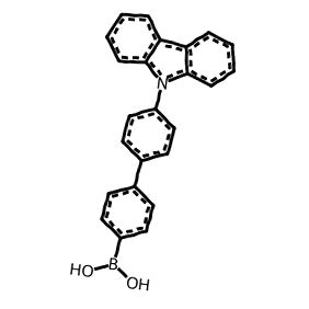 OB(O)c1ccc(-c2ccc(-n3c4ccccc4c4ccccc43)cc2)cc1